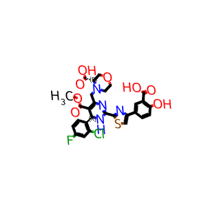 COC(=O)C1=C(CN2CCOC[C@H]2C(=O)O)N=C(c2nc(-c3ccc(O)c(C(=O)O)c3)cs2)N[C@H]1c1ccc(F)cc1Cl